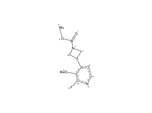 COc1c(C2CN(C(=O)OC(C)(C)C)C2)ccnc1F